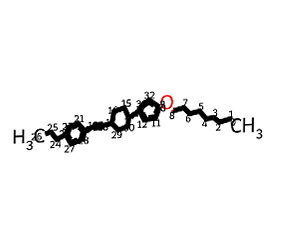 CCCCCCCCCOc1ccc(C2CCC(C#Cc3ccc(CCC)cc3)CC2)cc1